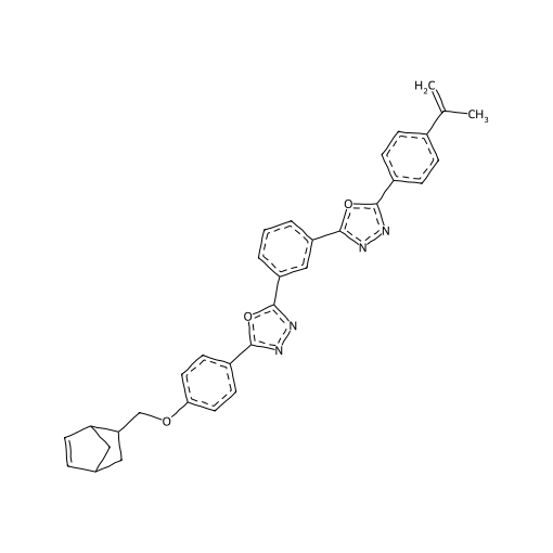 C=C(C)c1ccc(-c2nnc(-c3cccc(-c4nnc(-c5ccc(OCC6CC7C=CC6C7)cc5)o4)c3)o2)cc1